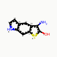 Nc1c(O)sc2cc3[nH]ccc3cc12